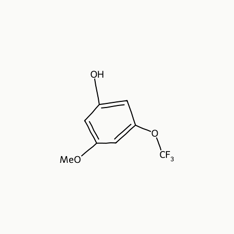 COc1cc(O)cc(OC(F)(F)F)c1